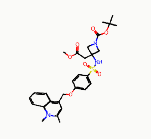 COC(=O)CC1(NS(=O)(=O)c2ccc(OCC3=C4C=CC=CC4N(C)C(C)=C3)cc2)CN(C(=O)OC(C)(C)C)C1